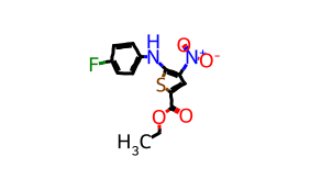 CCOC(=O)c1cc([N+](=O)[O-])c(Nc2ccc(F)cc2)s1